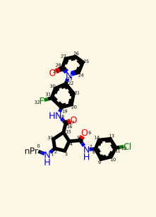 CCCNC1CC(C(=O)Nc2ccc(Cl)cc2)C(C(=O)Nc2ccc(-n3ccccc3=O)cc2F)C1